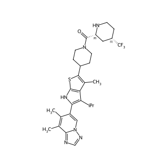 Cc1c(-c2[nH]c3sc(C4CCN(C(=O)[C@H]5C[C@@H](C(F)(F)F)CCN5)CC4)c(C)c3c2C(C)C)cn2ncnc2c1C